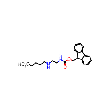 O=C(O)CCCCNCCNC(=O)OCC1c2ccccc2-c2ccccc21